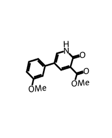 COC(=O)c1cc(-c2cccc(OC)c2)c[nH]c1=O